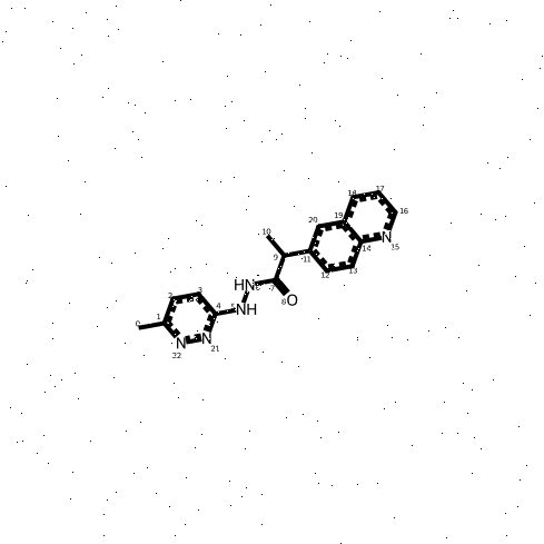 Cc1ccc(NNC(=O)C(C)c2ccc3ncccc3c2)nn1